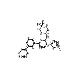 C/C=C(\C=N/CC)c1cccc(-c2ncc(C3=NN=C(C)C3)c(NC3CCC(F)(F)CC3)n2)c1